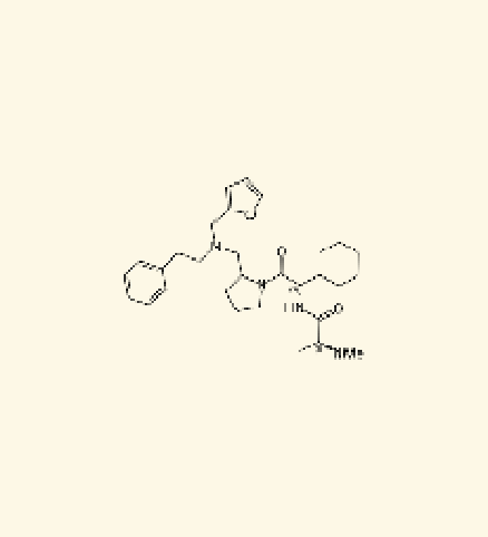 CN[C@@H](C)C(=O)N[C@H](C(=O)N1CCCC1CN(CCc1ccccc1)Cc1ccco1)C1CCCCC1